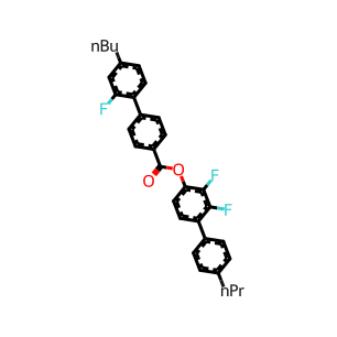 CCCCc1ccc(-c2ccc(C(=O)Oc3ccc(-c4ccc(CCC)cc4)c(F)c3F)cc2)c(F)c1